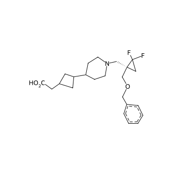 O=C(O)CC1CC(C2CCN(C[C@@]3(COCc4ccccc4)CC3(F)F)CC2)C1